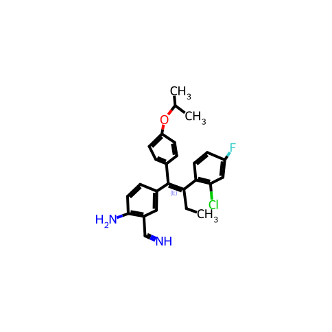 CC/C(=C(/c1ccc(OC(C)C)cc1)c1ccc(N)c(C=N)c1)c1ccc(F)cc1Cl